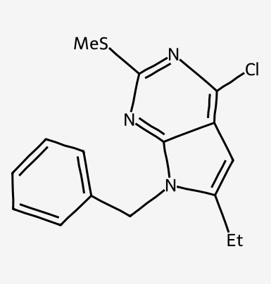 CCc1cc2c(Cl)nc(SC)nc2n1Cc1ccccc1